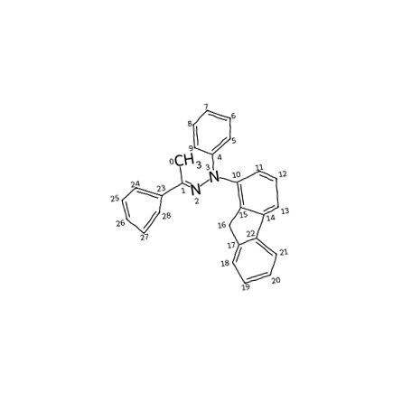 CC(=NN(c1ccccc1)c1cccc2c1Cc1ccccc1-2)c1ccccc1